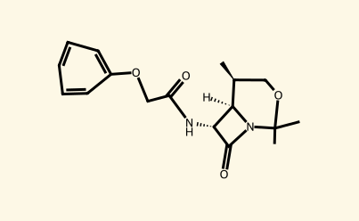 C[C@H]1COC(C)(C)N2C(=O)[C@H](NC(=O)COc3ccccc3)[C@@H]12